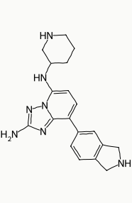 Nc1nc2c(-c3ccc4c(c3)CNC4)ccc(NC3CCCNC3)n2n1